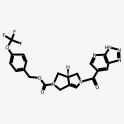 O=C(c1cnc2[nH]nnc2c1)N1C=C2CN(C(=O)OCc3ccc(OC(F)(F)F)cc3)C[C@@H]2C1